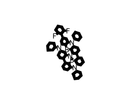 Fc1cccc(F)c1-c1cc2c3c(c1)N(c1ccccc1)c1ccc4c5c1B3c1c(ccc3c1N5B1c5c-3cccc5N(c3ccccc3)c3cccc-4c31)N2c1ccccc1